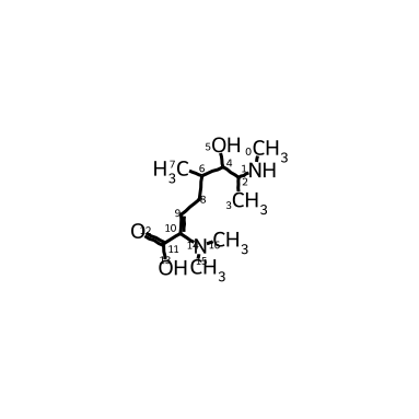 CNC(C)C(O)C(C)CC=C(C(=O)O)N(C)C